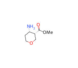 COC(=O)[C@@H]1COCC[C@@H]1N